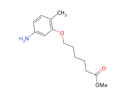 COC(=O)CCCCCOc1cc(N)ccc1C